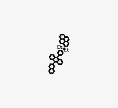 CC[Si](CC)(c1ccc(-c2c3ccccc3c(-c3ccc4ccccc4c3)c3ccccc23)cc1)c1ccc2ccc3cccc4ccc1c2c34